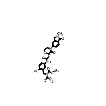 CN1Cc2cc(N3CCO[C@H]([CH]C(=O)Nc4ccc(C#N)c(CN(C(=O)OC(C)(C)C)C(=O)OC(C)(C)C)c4)C3=O)ccc2C1=O